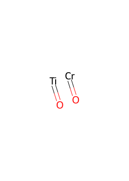 [O]=[Cr].[O]=[Ti]